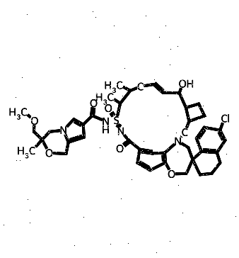 COCC1(C)Cn2cc(C(=O)NS3(=O)=NC(=O)c4ccc5c(c4)N(CC4CCC4C(O)/C=C/CC(C)C3C)CC3(CCCc4cc(Cl)ccc43)CO5)cc2CO1